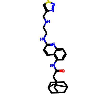 O=C(CC12CC3CC(CC(C3)C1)C2)Nc1cccc2nc(NCCNCc3csnn3)ccc12